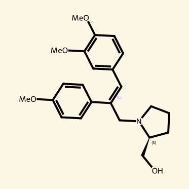 COc1ccc(/C(=C\c2ccc(OC)c(OC)c2)CN2CCC[C@H]2CO)cc1